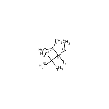 CN[N+](I)(N(C)C)C(C)(C)C